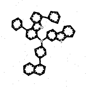 c1ccc(-c2cccc3c2oc2c(N(c4ccc(-c5cccc6ccccc56)cc4)c4ccc5c(c4)sc4ccccc45)ccc(-c4ccccc4)c23)cc1